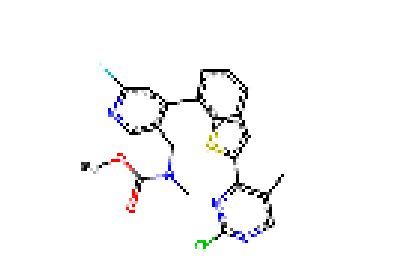 Cc1cnc(Cl)nc1-c1cc2cccc(-c3cc(F)ncc3CN(C)C(=O)OC(C)(C)C)c2s1